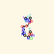 CC(C)(CCONC(=O)c1ccc(F)c(F)c1Nc1ccc(I)cc1F)OCC(C)(C)C(=O)N1CCN(c2cnc3ccc(-c4cnc(Cl)c(NS(=O)(=O)c5ccc(F)cc5)c4)cc3n2)CC1